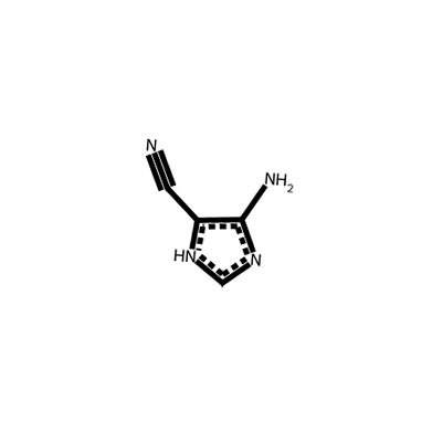 N#Cc1[nH][c]nc1N